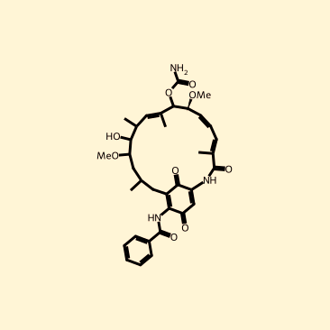 COC1CC(C)CC2=C(NC(=O)c3ccccc3)C(=O)C=C(NC(=O)/C(C)=C/C=C\[C@H](OC)C(OC(N)=O)/C(C)=C/C(C)C1O)C2=O